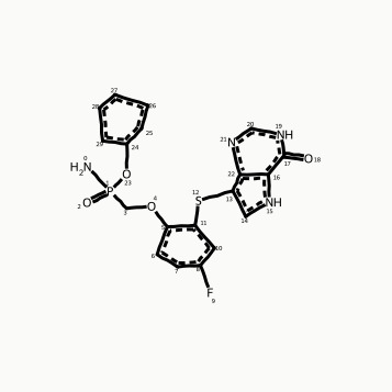 NP(=O)(COc1ccc(F)cc1Sc1c[nH]c2c(=O)[nH]cnc12)Oc1ccccc1